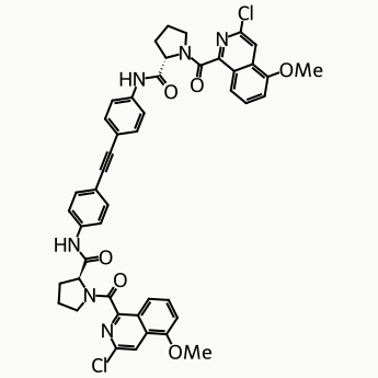 COc1cccc2c(C(=O)N3CCC[C@H]3C(=O)Nc3ccc(C#Cc4ccc(NC(=O)[C@@H]5CCCN5C(=O)c5nc(Cl)cc6c(OC)cccc56)cc4)cc3)nc(Cl)cc12